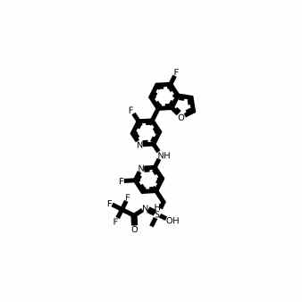 C[SH](O)(Cc1cc(F)nc(Nc2cc(-c3ccc(F)c4ccoc34)c(F)cn2)c1)=NC(=O)C(F)(F)F